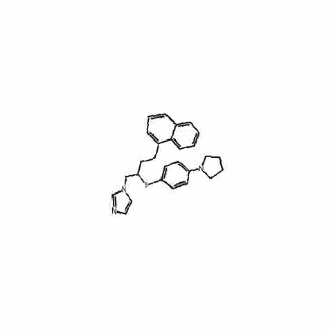 c1ccc2c(CCC(Cn3ccnc3)Sc3ccc(N4CCCC4)cc3)cccc2c1